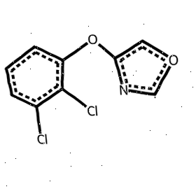 Clc1cccc(Oc2co[c]n2)c1Cl